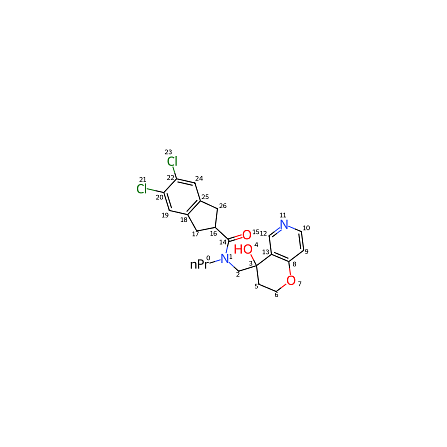 CCCN(CC1(O)CCOc2ccncc21)C(=O)C1Cc2cc(Cl)c(Cl)cc2C1